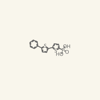 O=P(O)(O)c1ccc(-c2ccc(-c3ccccc3)s2)s1